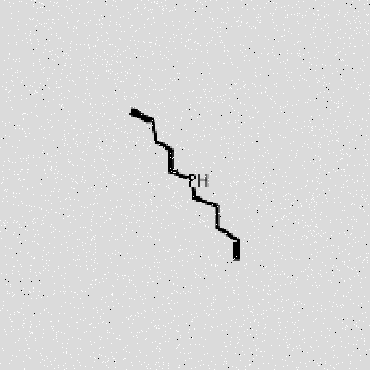 C=CCCCPCCCC=C